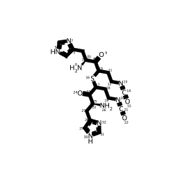 N[C@@H](Cc1c[nH]cn1)C(=O)C(CCN=C=O)SC(CCN=C=O)C(=O)[C@@H](N)Cc1c[nH]cn1